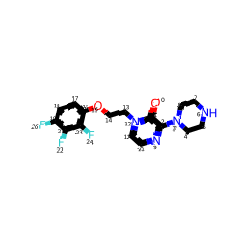 O=c1c(N2CCNCC2)nccn1CCOc1ccc(F)c(F)c1F